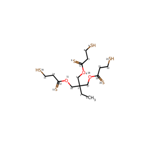 CCC(COC(=S)CCS)(COC(=S)CCS)COC(=S)CCS